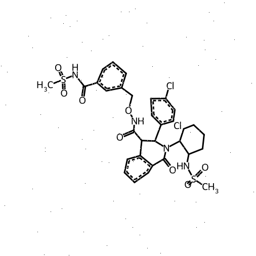 CS(=O)(=O)NC(=O)c1cccc(CONC(=O)C2c3ccccc3C(=O)N(C3CCCCC3NS(C)(=O)=O)C2c2ccc(Cl)cc2Cl)c1